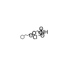 O=C1NC(=O)C(=Cc2ccc(OCCCC3CCCCC3)c(Cl)c2)S1